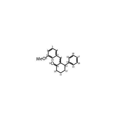 COc1cccc(C=C2C(=O)CCCC2c2ccccc2)c1